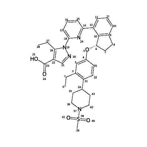 CCc1cc(O[C@H]2CCc3cccc(-c4cccc(-n5ncc(C(=O)O)c5CC)n4)c32)ccc1C1CCN(S(C)(=O)=O)CC1